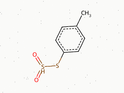 Cc1ccc(S[SH](=O)=O)cc1